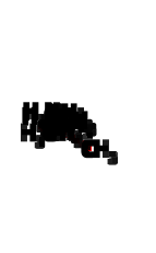 CCCCCCCCCCCCC/C=C/[C@@H](O[Si](c1ccccc1)(c1ccccc1)C(C)(C)C)C(COC(C)(C)N)C(=O)OC(C)(C)C